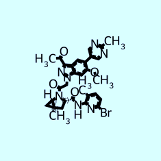 COc1cc2c(cc1-c1cnc(C)nc1)c(C(C)=O)nn2CC(=O)N1[C@H](C(=O)Nc2nc(Br)ccc2C)C[C@@]2(C)C[C@@H]12